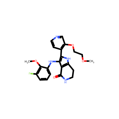 COCCOc1cnccc1-c1[nH]c2c(c1Nc1cccc(F)c1OC)C(=O)NCC2